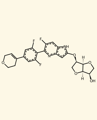 O[C@@H]1CO[C@H]2[C@@H]1OC[C@H]2Oc1cc2nc(-c3c(F)cc(C4=CCOCC4)cc3F)c(F)cc2[nH]1